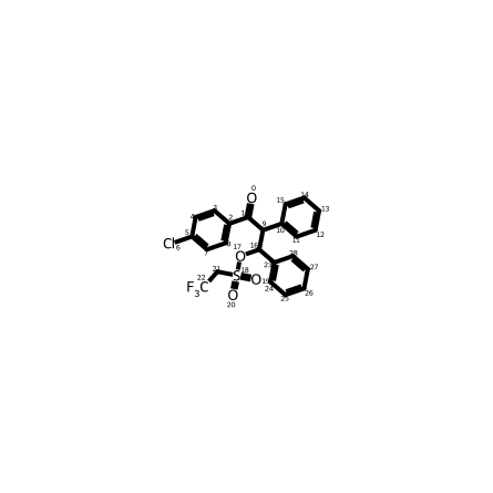 O=C(c1ccc(Cl)cc1)C(c1ccccc1)C(OS(=O)(=O)CC(F)(F)F)c1ccccc1